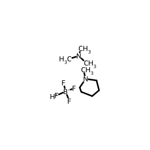 CN(C)C.CN1CCCCC1.F[B-](F)(F)F.[H+]